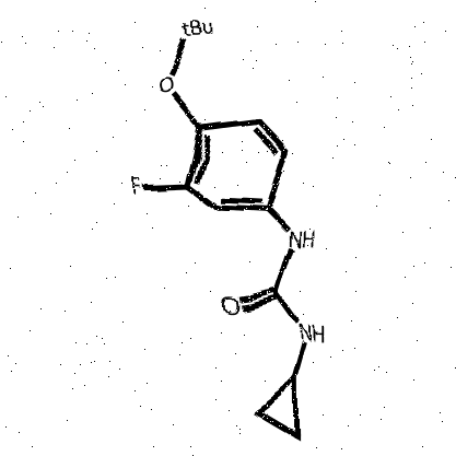 CC(C)(C)Oc1ccc(NC(=O)NC2CC2)cc1F